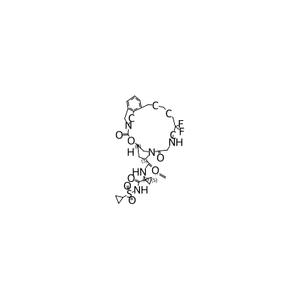 C=C[C@@H]1C[C@]1(NC(=O)[C@@H]1C[C@@H]2CN1C(=O)CNCC(F)(F)CCCCCc1cccc3c1CN(C3)C(=O)O2)C(=O)NS(=O)(=O)C1CC1